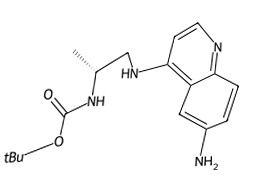 C[C@H](CNc1ccnc2ccc(N)cc12)NC(=O)OC(C)(C)C